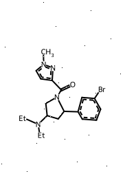 CCN(CC)C1CC(c2cccc(Br)c2)N(C(=O)c2ccn(C)n2)C1